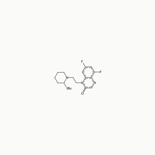 CC(C)(C)C1C[CH]CCN1CCn1c(=O)cnc2c(F)cc(F)cc21